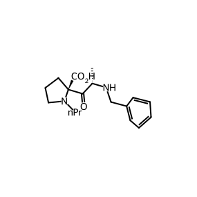 CCCN1CCC[C@]1(C(=O)O)C(=O)[C@H](C)NCc1ccccc1